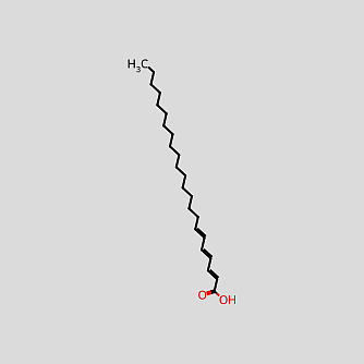 CCCCCCCCCCCCCCCCC=CC=CC=CC(=O)O